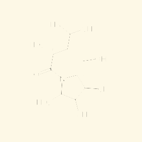 CC(S)C[C@@H](C)C(=O)N1C(C)C(C)C(C)[C@H]1CO